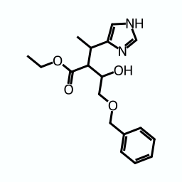 CCOC(=O)C(C(O)COCc1ccccc1)C(C)c1c[nH]cn1